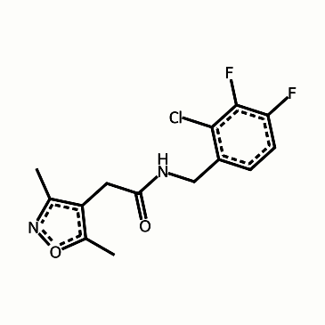 Cc1noc(C)c1CC(=O)NCc1ccc(F)c(F)c1Cl